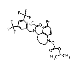 CC(=O)N(Cc1cc(C(F)(F)F)cc(C(F)(F)F)c1)C1CCCN(OC(=O)OC(C)C)c2ccc(Br)nc21